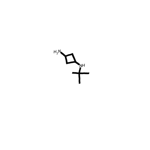 CC(C)(C)NC1CC(N)C1